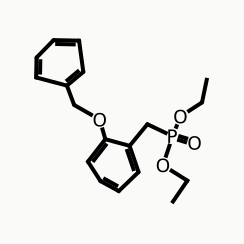 CCOP(=O)(Cc1ccccc1OCc1ccccc1)OCC